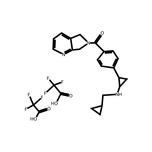 O=C(O)C(F)(F)F.O=C(O)C(F)(F)F.O=C(c1ccc(C2CC2NCC2CC2)cc1)N1Cc2cccnc2C1